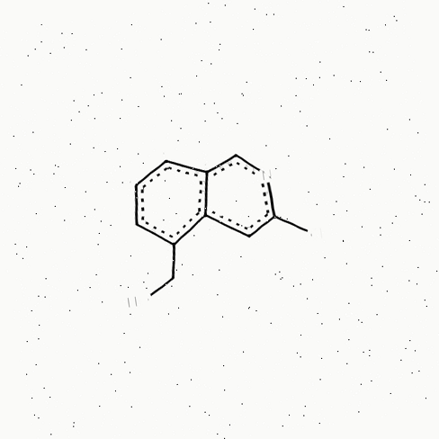 OCc1cccc2cnc(Cl)cc12